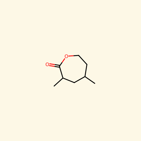 CC1CCOC(=O)C(C)C1